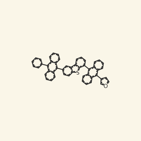 c1ccc(-c2c3ccccc3c(-c3ccc4sc5c(-c6c7ccccc7c(-c7ccoc7)c7ccccc67)cccc5c4c3)c3ccccc23)cc1